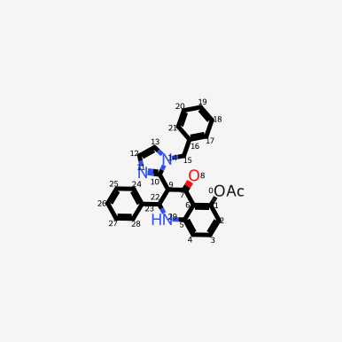 CC(=O)Oc1cccc2c1C(=O)C(c1nccn1Cc1ccccc1)C(c1ccccc1)N2